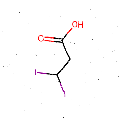 O=C(O)CC(I)I